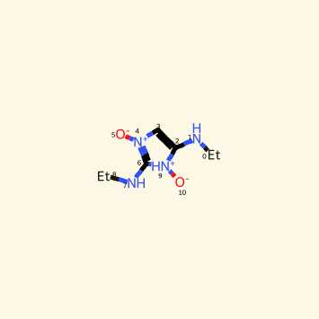 CCNC1=C[N+]([O-])=C(NCC)[NH+]1[O-]